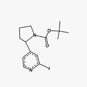 CC(C)(C)OC(=O)N1CCCC1c1ccnc(I)c1